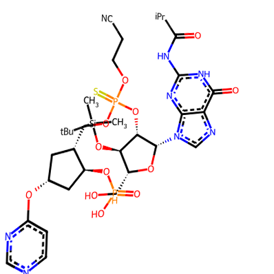 CC(C)C(=O)Nc1nc2c(ncn2[C@@H]2O[C@H](CO)[C@@H](O[Si](C)(C)C(C)(C)C)[C@@H]2OP(=S)(OCCC#N)OC[C@H]2C[C@@H](Oc3ccncn3)C[C@@H]2O[PH](=O)O)c(=O)[nH]1